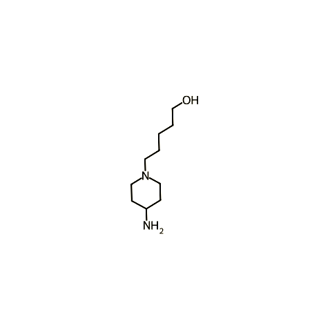 NC1CCN(CCCCCO)CC1